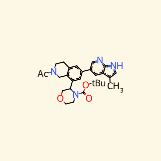 CC(=O)N1CCc2cc(-c3cnc4[nH]cc(C)c4c3)cc(C3COCCN3C(=O)OC(C)(C)C)c2C1